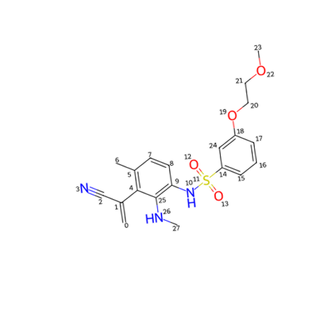 C=C(C#N)c1c(C)ccc(NS(=O)(=O)c2cccc(OCCOC)c2)c1NC